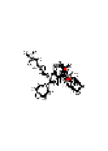 CC(C)(C)OC(=O)N1C2CCC1CN(c1ccnc3c1nc(N1CCOCC1)n3COCC[Si](C)(C)C)C2